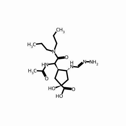 CCCN(CCC)C(=O)C(NC(C)=O)[C@@H]1C[C@@](O)(C(=O)O)C[C@H]1N/C=N/N